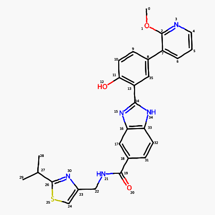 COc1ncccc1-c1ccc(O)c(-c2nc3cc(C(=O)NCc4csc(C(C)C)n4)ccc3[nH]2)c1